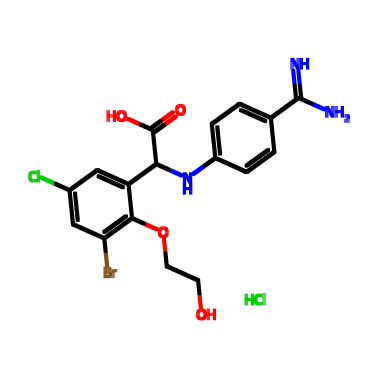 Cl.N=C(N)c1ccc(NC(C(=O)O)c2cc(Cl)cc(Br)c2OCCO)cc1